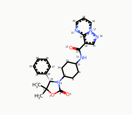 CC1(C)OC(=O)N(C2CCC(NC(=O)c3cnn4cccnc34)CC2)[C@H]1c1ccccc1